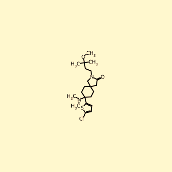 COC(C)(C)CCN1CC2(CCC(c3ccc(Cl)s3)(N(C)C)CC2)CC1=O